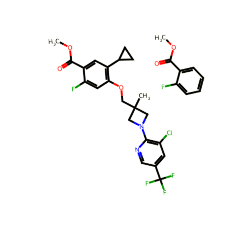 COC(=O)c1cc(C2CC2)c(OCC2(C)CN(c3ncc(C(F)(F)F)cc3Cl)C2)cc1F.COC(=O)c1ccccc1F